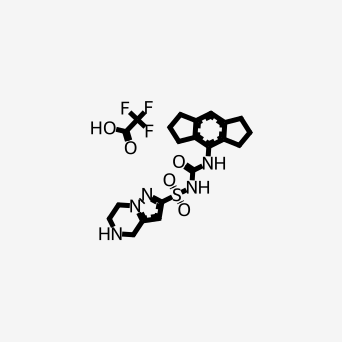 O=C(Nc1c2c(cc3c1CCC3)CCC2)NS(=O)(=O)c1cc2n(n1)CCNC2.O=C(O)C(F)(F)F